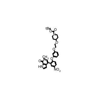 Cn1cc(-c2cc([N+](=O)[O-])ccc2Oc2cccc(OCCOC3CCN(C(=O)OC(C)(C)C)CC3)c2)c2cc[nH]c2c1=O